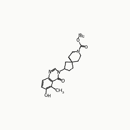 Cc1c(O)ccc2ncn(C3CCC4(CCN(C(=O)OC(C)(C)C)CC4)C3)c(=O)c12